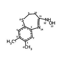 Cc1cc2c(cc1C)SCCC(NO)=N2